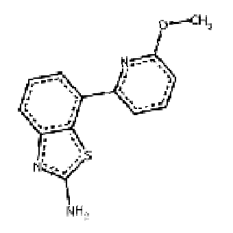 COc1cccc(-c2cccc3nc(N)sc23)n1